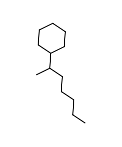 CCCCCC(C)C1CCCCC1